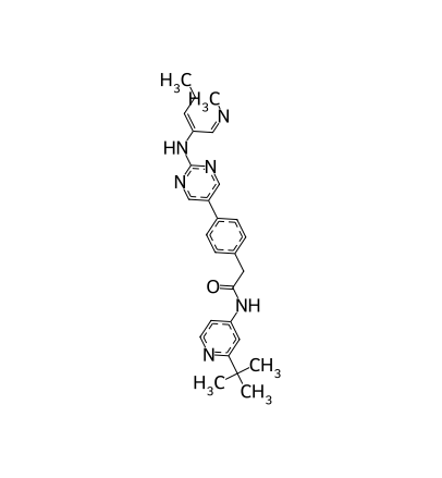 CC/C=C(\C=N/C)Nc1ncc(-c2ccc(CC(=O)Nc3ccnc(C(C)(C)C)c3)cc2)cn1